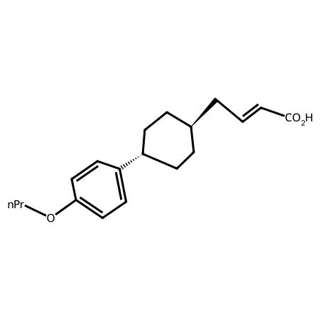 CCCOc1ccc([C@H]2CC[C@H](C/C=C/C(=O)O)CC2)cc1